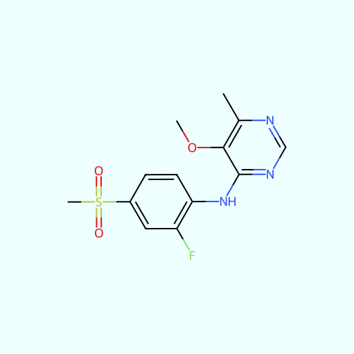 COc1c(C)ncnc1Nc1ccc(S(C)(=O)=O)cc1F